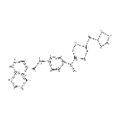 C=C(c1ccc(NSc2cccc3cccnc23)cc1)N1CCN(CC2CCCC2)CC1